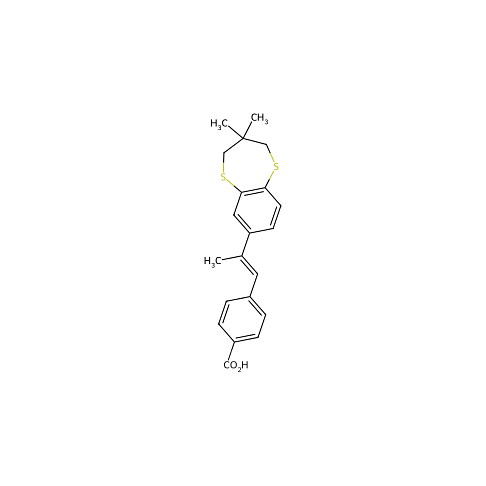 C/C(=C\c1ccc(C(=O)O)cc1)c1ccc2c(c1)SCC(C)(C)CS2